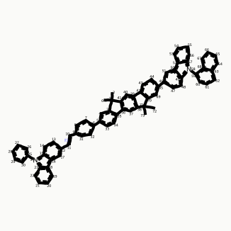 CC1(C)c2cc(-c3ccc(/C=C/c4ccc5c(c4)c4ccccc4n5-c4ccccc4)cc3)ccc2-c2cc3c(cc21)-c1ccc(-c2ccc4c(c2)c2ccccc2n4-c2cccc4ccccc24)cc1C3(C)C